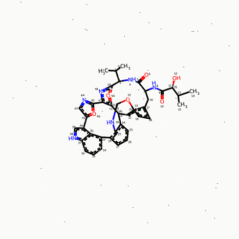 CC(C)C1NC(=O)C(NC(=O)[C@@H](O)C(C)C)Cc2ccc3c(c2)[C@]24c5cccc(c5NC2O3)-c2cccc3[nH]cc(c23)-c2cnc(o2)-c2nc1oc24